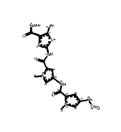 CNC(=O)c1nc(NC(=O)c2cc(NC(=O)c3cc(NC=O)cn3C)cn2C)sc1C(C)C